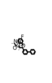 C[C@H](N)C(=O)O[C@@H](C)[C@H](Oc1cccc(F)c1)c1cccc(-c2ccccc2)c1